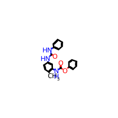 Cc1ccc(NC(=O)Nc2ccccc2)cc1NC(=O)Oc1ccccc1